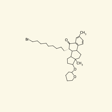 Cc1ccc2c(c1)C(=O)[C@@H](CCCCCCCCCBr)C1C2CCC2(C)C(OC3CCCCO3)CCC12